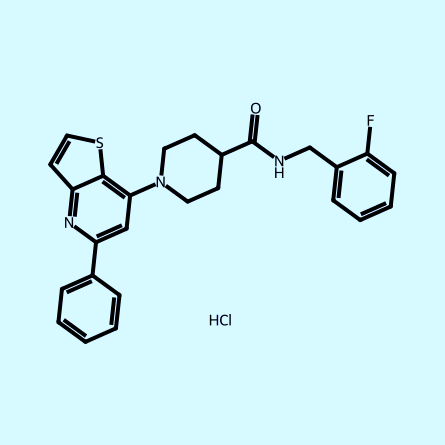 Cl.O=C(NCc1ccccc1F)C1CCN(c2cc(-c3ccccc3)nc3ccsc23)CC1